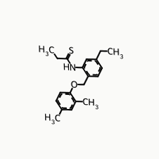 CCC(=S)Nc1cc(CC)ccc1COc1ccc(C)cc1C